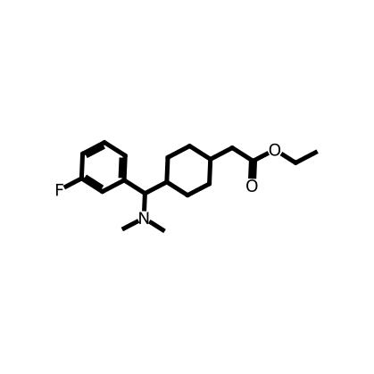 CCOC(=O)CC1CCC(C(c2cccc(F)c2)N(C)C)CC1